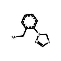 NCc1ccccc1N1COC=N1